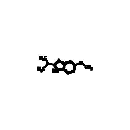 COc1ccc2[nH]c(C(C)C)[c]c2c1